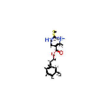 CC1=C(C(=O)OCCc2cccc(C)c2)CNC(=S)N1